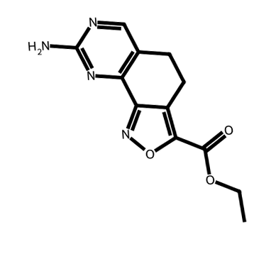 CCOC(=O)c1onc2c1CCc1cnc(N)nc1-2